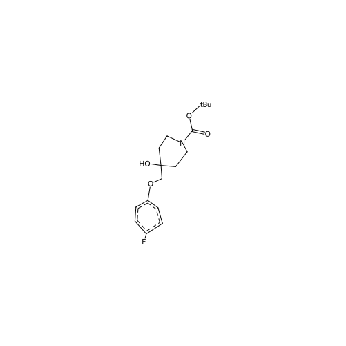 CC(C)(C)OC(=O)N1CCC(O)(COc2ccc(F)cc2)CC1